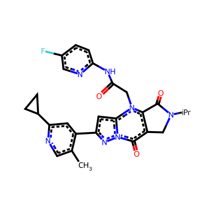 Cc1cnc(C2CC2)cc1-c1cc2n(CC(=O)Nc3ccc(F)cn3)c3c(c(=O)n2n1)CN(C(C)C)C3=O